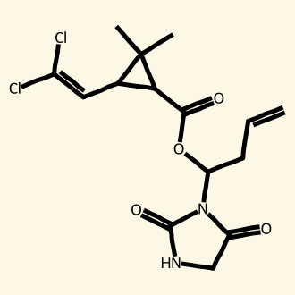 C=CCC(OC(=O)C1C(C=C(Cl)Cl)C1(C)C)N1C(=O)CNC1=O